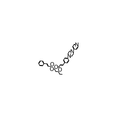 CCCCC(OC(=O)C=Cc1ccccc1)OC(=O)C=Cc1ccc(N2CCN(c3ccncc3)CC2)cc1